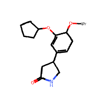 CC(C)OC1CC=C(C2CNC(=O)C2)C=C1OC1CCCC1